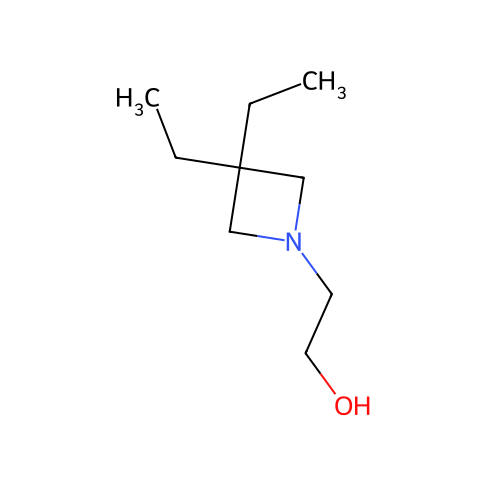 CCC1(CC)CN(CCO)C1